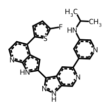 CC(C)Nc1cncc(-c2cc3c(-c4cc5c(-c6ccc(F)s6)ccnc5[nH]4)n[nH]c3cn2)c1